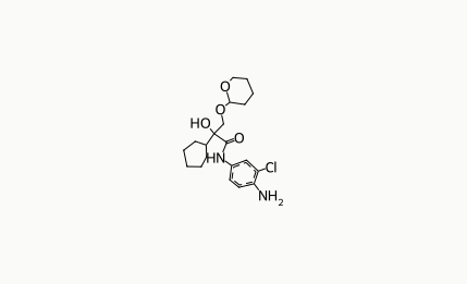 Nc1ccc(NC(=O)C(O)(COC2CCCCO2)C2CCCCC2)cc1Cl